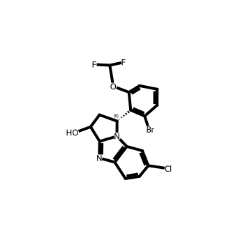 OC1C[C@H](c2c(Br)cccc2OC(F)F)n2c1nc1ccc(Cl)cc12